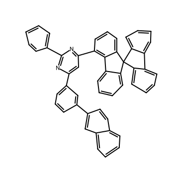 c1ccc(-c2nc(-c3cccc(-c4ccc5ccccc5c4)c3)cc(-c3cccc4c3-c3ccccc3C43c4ccccc4-c4ccccc43)n2)cc1